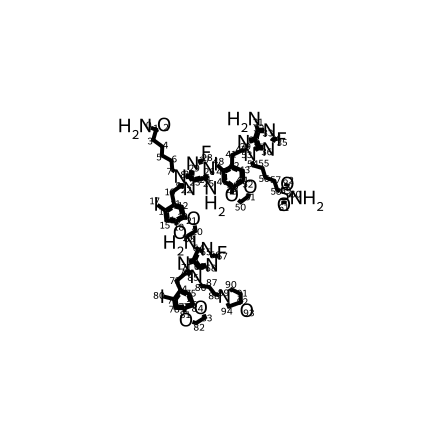 NC(=O)CCCCCn1c(Cc2cc3c(cc2I)OCCO3)nc2c(N)nc(F)nc21.Nc1nc(F)nc2c1nc(Cc1cc3c(cc1I)OCCO3)n2CCCCCS(N)(=O)=O.Nc1nc(F)nc2c1nc(Cc1cc3c(cc1I)OCCO3)n2CCCN1CCC(=O)C1